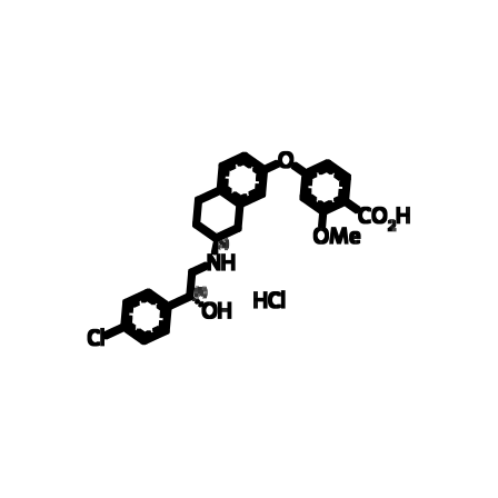 COc1cc(Oc2ccc3c(c2)C[C@@H](NC[C@H](O)c2ccc(Cl)cc2)CC3)ccc1C(=O)O.Cl